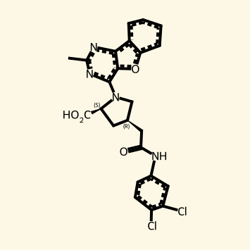 Cc1nc(N2C[C@@H](CC(=O)Nc3ccc(Cl)c(Cl)c3)C[C@H]2C(=O)O)c2oc3ccccc3c2n1